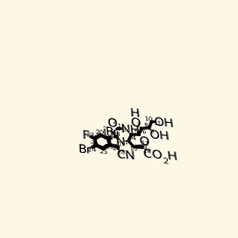 CC(C)C(=O)N[C@H]1[C@H]([C@H](O)[C@H](O)CO)OC(C(=O)O)=C[C@@H]1n1nc2cc(F)c(Br)cc2c1C#N